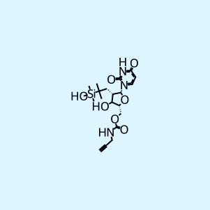 C#CCNC(=O)OC[C@H]1O[C@@H](n2ccc(=O)[nH]c2=O)[C@@H](CC(C)(C)[Si](C)(C)O)C1O